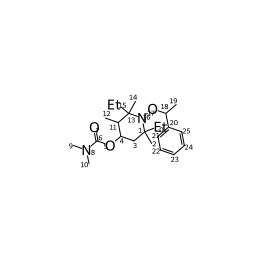 CCC1(C)CC(OC(=O)N(C)C)C(C)C(C)(CC)N1OC(C)c1ccccc1